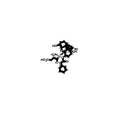 CC(=O)O[C@@H](CC(=O)O)C(=O)O[C@H](C(=O)OC1=CC[C@@]2(O)[C@@H]3CCC[C@@]24c2c(ccc(O)c2O[C@@H]14)C3)c1ccccc1